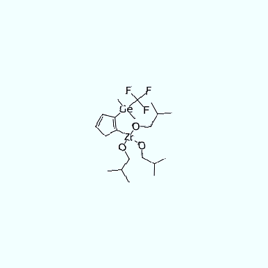 CC(C)C[O][Zr]([O]CC(C)C)([O]CC(C)C)[C]1=[C]([Ge]([CH3])([CH3])[C](F)(F)F)C=CC1